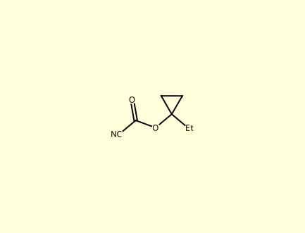 CCC1(OC(=O)C#N)CC1